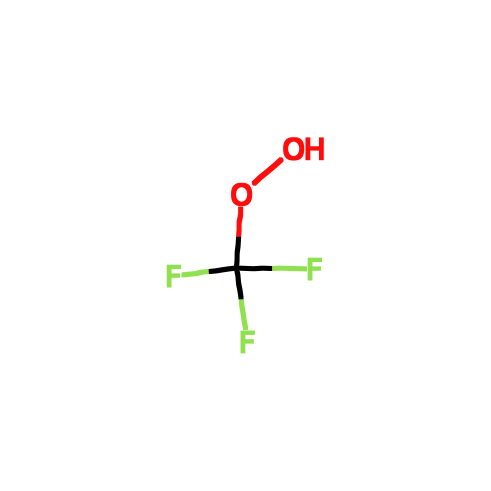 OOC(F)(F)F